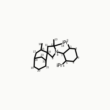 CC(C)C1CCCC(C(C)C)C1N1CC2(CC1(C)C)C(C)CC1CCCC2C1